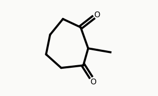 CC1C(=O)CCCCC1=O